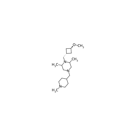 CO[C@H]1C[C@H](CN2C(C)CN(CC3CCN(C)CC3)CC2C)C1